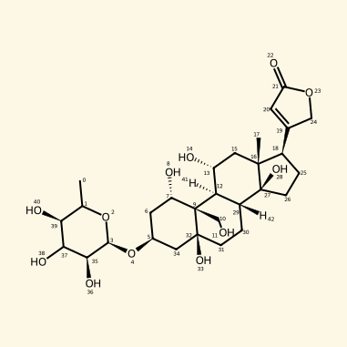 CC1O[C@@H](O[C@H]2C[C@H](O)[C@]3(CO)[C@H]4[C@H](O)C[C@]5(C)[C@@H](C6=CC(=O)OC6)CC[C@]5(O)[C@@H]4CC[C@]3(O)C2)[C@@H](O)C(O)[C@H]1O